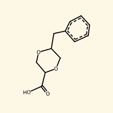 O=C(O)C1COC(Cc2ccccc2)CO1